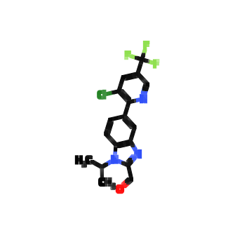 CC(C)n1c(C=O)nc2cc(-c3ncc(C(F)(F)F)cc3Cl)ccc21